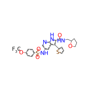 O=C(NCC1CCCO1)c1[nH]c2ncc(NS(=O)(=O)c3ccc(OC(F)(F)F)cc3)cc2c1-c1cccs1